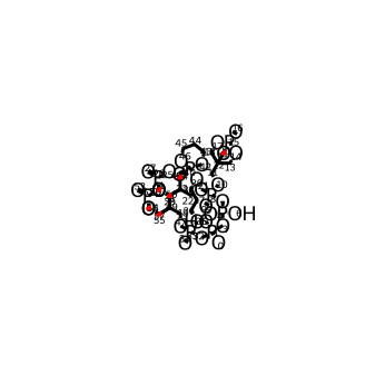 O=P(O)(OP(=O)(O)OP(=O)(OCC12COP(=O)(OC1)OC2)OCC12COP(=O)(OC1)OC2)OP(=O)(OCCCOP1(=O)OCCCO1)OCC12COP(=O)(OC1)OC2